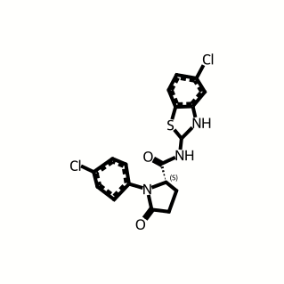 O=C(NC1Nc2cc(Cl)ccc2S1)[C@@H]1CCC(=O)N1c1ccc(Cl)cc1